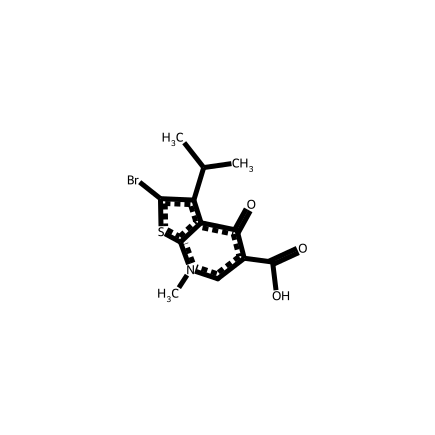 CC(C)c1c(Br)sc2c1c(=O)c(C(=O)O)cn2C